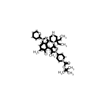 CCC1(CC)CNCCN1c1nn(C2CCN(C(=O)OC(C)(C)C)CC2)c(C)c1-c1c(Cl)c(C)cc2c1cnn2C1CCCCO1